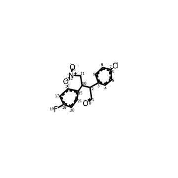 O=CC(c1ccc(Cl)cc1)C(C[N+](=O)[O-])c1ccc(F)cc1